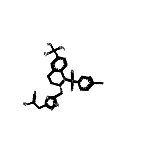 CC(O)(c1ccc2c(c1)CC[C@@H](Cc1nnc(CC(N)=O)o1)N2S(=O)(=O)c1ccc(F)cc1)C(F)(F)F